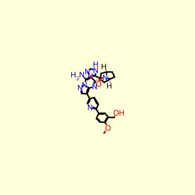 COc1ccc(-c2ccc(-c3cnn4c(N)cc([C@@H]5C[C@H]6CC[C@@H](C5)N6C(=O)c5nnc[nH]5)nc34)cn2)cc1CO